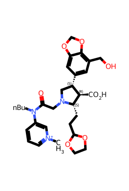 CCCCN(C(=O)CN1C[C@H](c2cc(CO)c3c(c2)OCO3)[C@@H](C(=O)O)[C@@H]1CCC1OCCO1)c1ccc[n+](C)c1